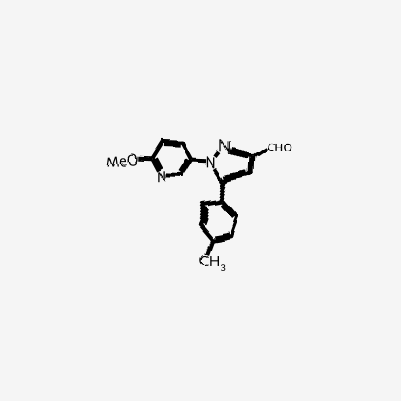 COc1ccc(-n2nc(C=O)cc2-c2ccc(C)cc2)cn1